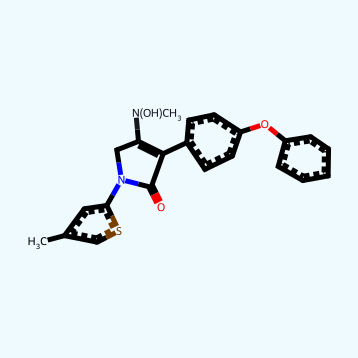 Cc1csc(N2CC(N(C)O)=C(c3ccc(Oc4ccccc4)cc3)C2=O)c1